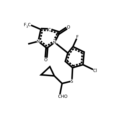 Cn1c(C(F)(F)F)cc(=O)n(-c2cc(SC(C=O)C3CC3)c(Cl)cc2F)c1=O